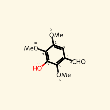 COc1cc(C=O)c(OC)c(O)c1OC